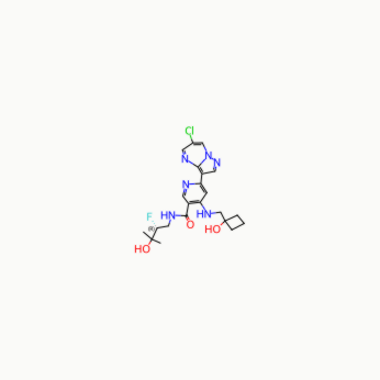 CC(C)(O)[C@H](F)CNC(=O)c1cnc(-c2cnn3cc(Cl)cnc23)cc1NCC1(O)CCC1